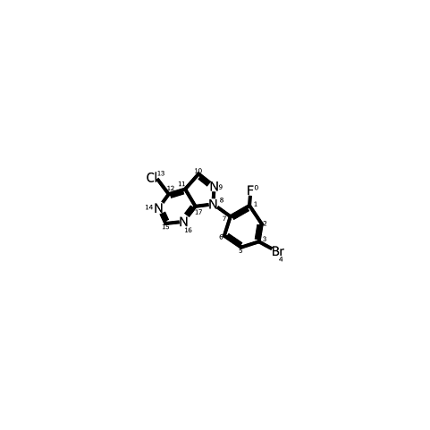 Fc1cc(Br)ccc1-n1ncc2c(Cl)ncnc21